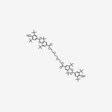 CC(C)(C)c1cc(C(=O)Oc2c(C(C)(C)C)cc(C(=O)OCCOCCOCCOC(=O)c3cc(C(C)(C)C)c(OC(=O)c4cc(C(C)(C)C)c(O)c(C(C)(C)C)c4)c(C(C)(C)C)c3)cc2C(C)(C)C)cc(C(C)(C)C)c1O